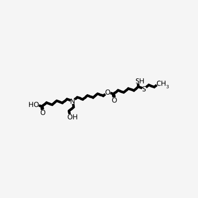 CCCSC(S)CCCCC(=O)OCCCCCCN(CCO)CCCCCC(=O)O